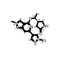 CCn1cc(-c2cc3nn(C)cc3c(OC(C)[C@H]3CNC(=O)C3)n2)cn1